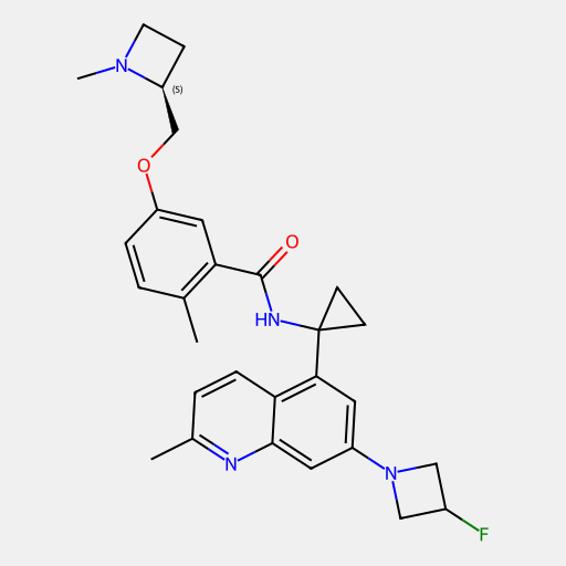 Cc1ccc2c(C3(NC(=O)c4cc(OC[C@@H]5CCN5C)ccc4C)CC3)cc(N3CC(F)C3)cc2n1